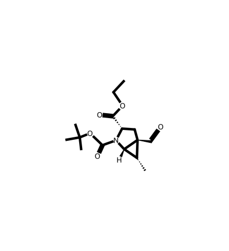 CCOC(=O)[C@@H]1C[C@]2(C=O)[C@H](C)[C@@H]2N1C(=O)OC(C)(C)C